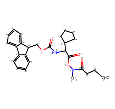 CN(OC(=O)C(NC(=O)OCC1c2ccccc2-c2ccccc21)C1CCCC1)C(=O)CCC=O